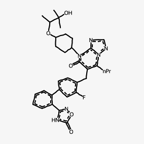 CCCc1c(Cc2ccc(-c3ccccc3-c3noc(=O)[nH]3)cc2F)c(=O)n(C2CCC(OC(C)C(C)(C)O)CC2)c2ncnn12